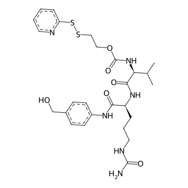 CC(C)[C@H](NC(=O)OCCSSc1ccccn1)C(=O)N[C@@H](CCCNC(N)=O)C(=O)Nc1ccc(CO)cc1